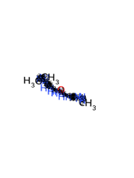 Cn1ccnc1/N=N/c1ccc(NCCCNC(=O)NCCCNc2ccc(/N=N/c3n(C)cc[n+]3C)cc2)cc1